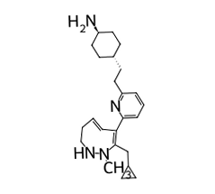 CN1NCC/C=C/C(c2cccc(CC[C@H]3CC[C@H](N)CC3)n2)=C\1CC1CC1